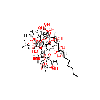 CCCCCCCCCC[Si](C)(O)[Si](O[SiH2]O)(O[Si](O[Si](C)(C)O[Si](C)(C)C)([Si](O[SiH2]O)([Si](C)(C)OC)[Si](O[SiH3])([SiH2]O)[SiH2]O)[Si](O[Si](O[SiH](C)O)([SiH2]O)[SiH2]O)([Si](O[SiH2]O)([SiH2]O)[SiH2]O)[Si](O[SiH2]O)([SiH2]O)[SiH2]O)[SiH2]O